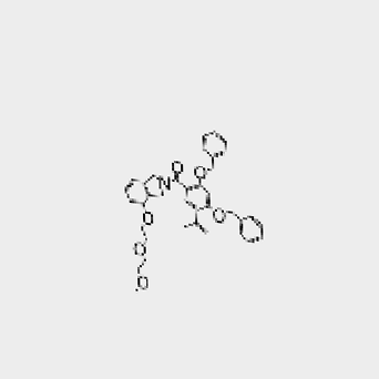 C=C(C)c1cc(C(=O)N2Cc3cccc(OCCOCCOC)c3C2)c(OCc2ccccc2)cc1OCc1ccccc1